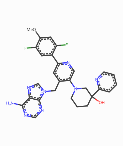 COc1cc(F)c(-c2cc(Cn3cnc4c(N)ncnc43)c(N3CCCC(O)(c4ccccn4)C3)cn2)cc1F